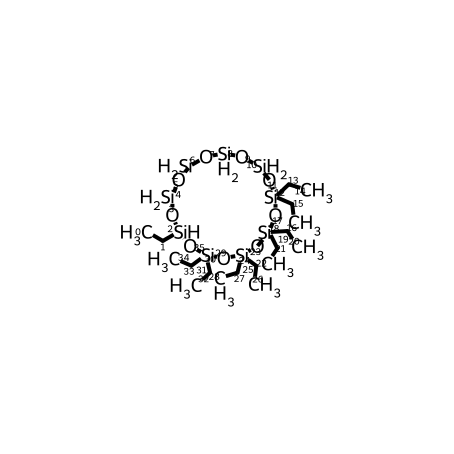 CC[SiH]1O[SiH2]O[SiH2]O[SiH2]O[SiH2]O[Si](CC)(CC)O[Si](CC)(CC)O[Si](CC)(CC)O[Si](CC)(CC)O1